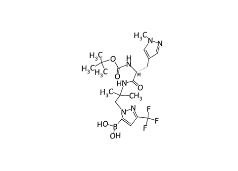 Cn1cc(C[C@@H](NC(=O)OC(C)(C)C)C(=O)NC(C)(C)Cn2nc(C(F)(F)F)cc2B(O)O)cn1